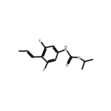 [CH2]/C=C/c1c(F)cc(NC(=O)OC(C)C)cc1F